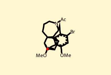 COC1=CC=C2C3Cc4c(Br)cc(OC)c5c4C2(CCCN3C(C)=O)C1O5